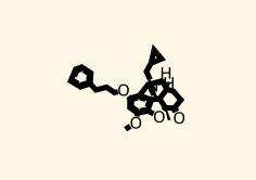 COc1cc(OCCCc2ccccc2)c2c3c1O[C@@]1(C)C(=O)CC[C@H]4[C@@H](C2)N(CC2CC2)CC[C@@]341